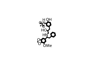 COc1cc(C(Cc2ccccc2)NCC(O)Cc2ccc(O)c(NS(C)(=O)=O)c2)cc2c1OCO2